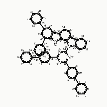 c1ccc(-c2ccc(-c3nc(-c4ccc(-c5ccccc5)cc4)nc(-n4c5ccccc5c5ccc6c7cc(-c8ccccc8)cc(-c8ccccc8)c7oc6c54)n3)cc2)cc1